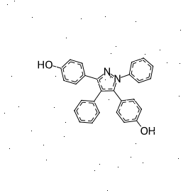 Oc1ccc(-c2nn(-c3ccccc3)c(-c3ccc(O)cc3)c2-c2ccccc2)cc1